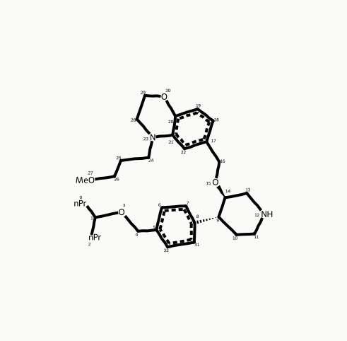 CCCC(CCC)OCc1ccc([C@H]2CCNC[C@@H]2OCc2ccc3c(c2)N(CCCOC)CCO3)cc1